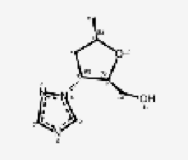 C[C@@H]1C[C@@H](n2cncn2)[C@H](CO)O1